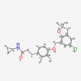 Cc1c(CCC(=O)NC2CC2)ccc(OCc2cc(Cl)cc3c2OC(C)(C)C3)c1C